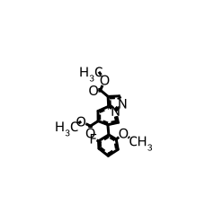 COC(=O)c1cc2c(C(=O)OC)cnn2cc1-c1c(F)cccc1OC